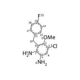 COc1c(Cl)cc(N)c(N)c1Cc1ccc(F)cc1